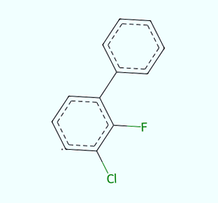 Fc1c(Cl)[c]ccc1-c1ccccc1